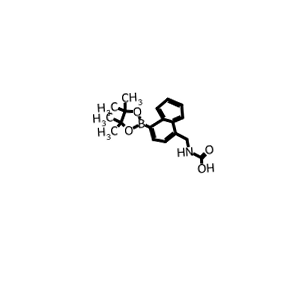 CC1(C)OB(c2ccc(CNC(=O)O)c3ccccc23)OC1(C)C